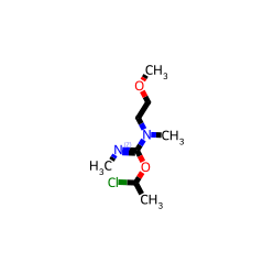 C/N=C(\OC(C)Cl)N(C)CCOC